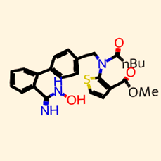 CCCCC(=O)N(Cc1ccc(-c2ccccc2C(=N)NO)cc1)c1sccc1C(=O)OC